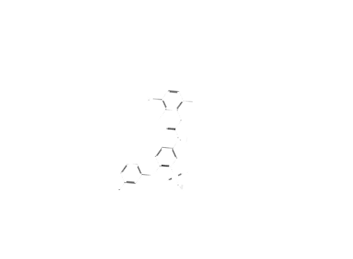 Cc1c(Br)ccc(Cl)c1CC(=O)Nc1ccc(Oc2cccc(Cl)c2)c(S(N)(=O)=O)c1